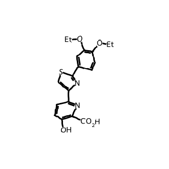 CCOc1ccc(-c2nc(-c3ccc(O)c(C(=O)O)n3)cs2)cc1OCC